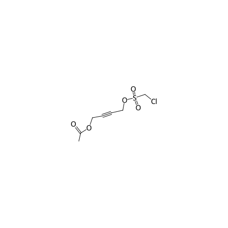 CC(=O)OCC#CCOS(=O)(=O)CCl